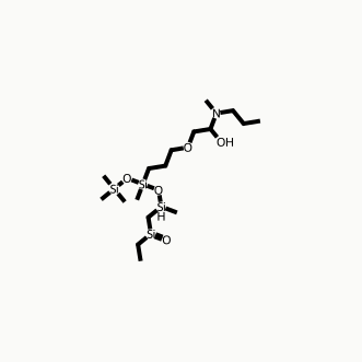 CCCN(C)C(O)COCCC[Si](C)(O[SiH](C)C[Si](=O)CC)O[Si](C)(C)C